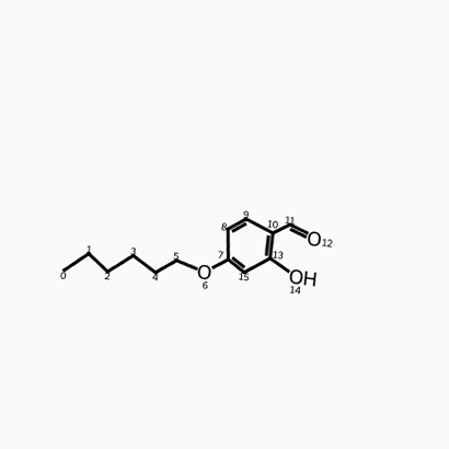 CCCCCCOc1ccc(C=O)c(O)c1